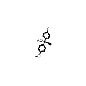 C#CC(O)(c1ccc(F)cc1)c1ccc(OC)cc1